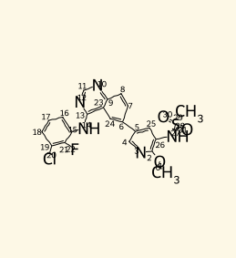 COc1ncc(-c2ccc3ncnc(Nc4cccc(Cl)c4F)c3c2)cc1NS(C)(=O)=O